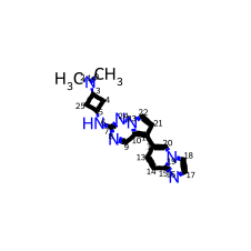 CN(C)[C@H]1C[C@@H](Nc2ncc3c(-c4ccc5nccn5c4)ccn3n2)C1